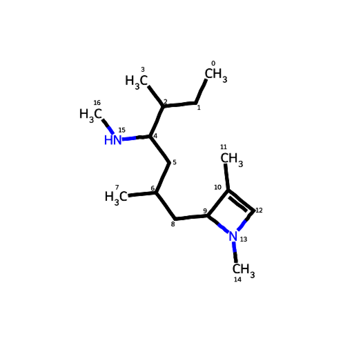 CCC(C)C(CC(C)CC1C(C)=CN1C)NC